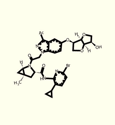 CC(=O)c1nn(CC(=O)N2[C@H](C(=O)Nc3nc(Br)ccc3C3CC3)C[C@@]3(C)C[C@@H]23)c2ccc(O[C@@H]3CO[C@H]4[C@@H]3OC[C@H]4O)cc12